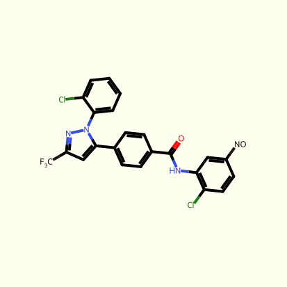 O=Nc1ccc(Cl)c(NC(=O)c2ccc(-c3cc(C(F)(F)F)nn3-c3ccccc3Cl)cc2)c1